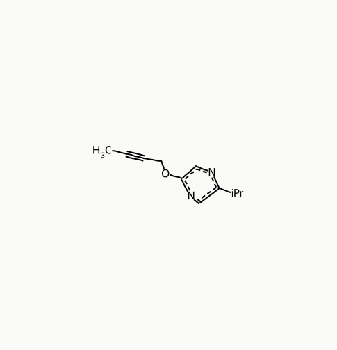 CC#CCOc1cnc(C(C)C)cn1